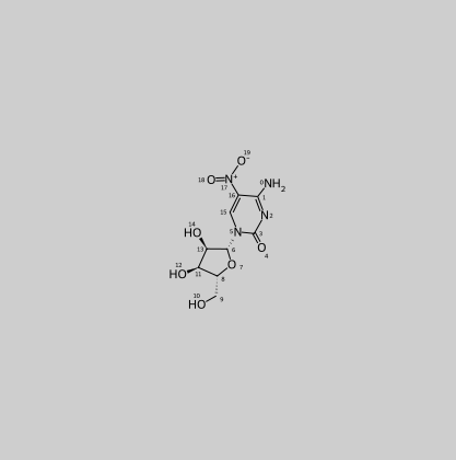 Nc1nc(=O)n([C@@H]2O[C@H](CO)[C@@H](O)[C@H]2O)cc1[N+](=O)[O-]